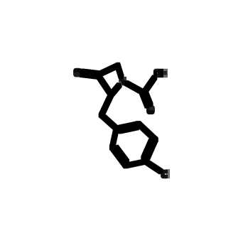 O=C1CN(C(=O)O)C1Cc1ccc(Cl)cc1